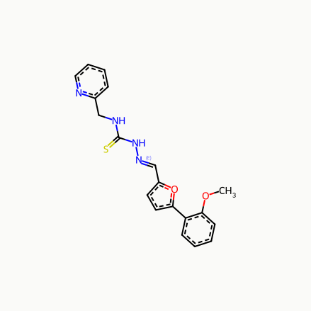 COc1ccccc1-c1ccc(/C=N/NC(=S)NCc2ccccn2)o1